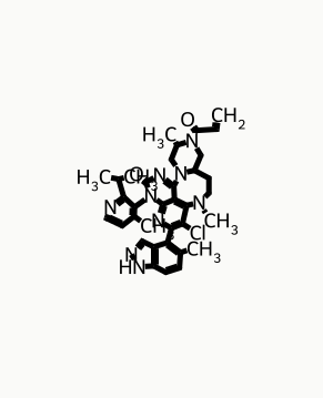 C=CC(=O)N1CC2CCN(C)c3c(Cl)c(-c4c(C)ccc5[nH]ncc45)nc4c3c(nc(=O)n4-c3c(C)ccnc3C(C)C)N2CC1C